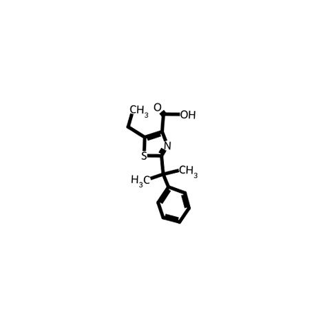 CCc1sc(C(C)(C)c2ccccc2)nc1C(=O)O